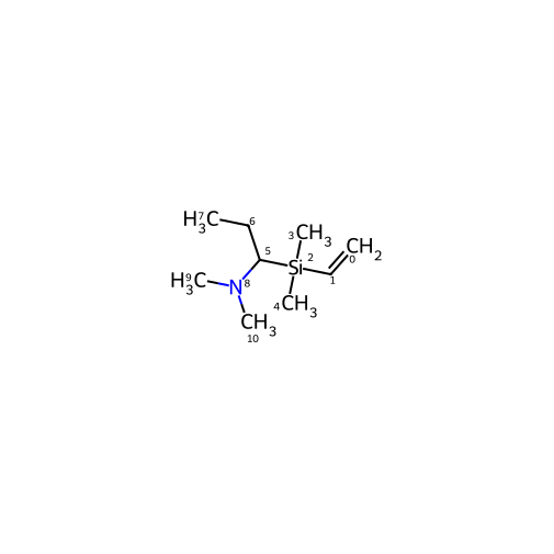 C=C[Si](C)(C)C(CC)N(C)C